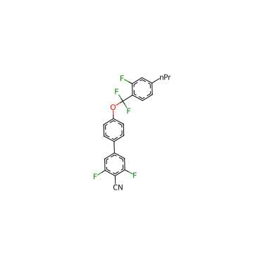 CCCc1ccc(C(F)(F)Oc2ccc(-c3cc(F)c(C#N)c(F)c3)cc2)c(F)c1